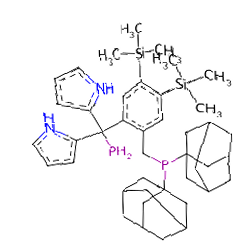 C[Si](C)(C)c1cc(CP(C23CC4CC(CC(C4)C2)C3)C23CC4CC(CC(C4)C2)C3)c(C(P)(c2ccc[nH]2)c2ccc[nH]2)cc1[Si](C)(C)C